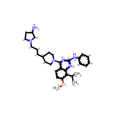 COc1ccc2c(N3CCC(CCCN4CCC(N)C4)CC3)nc(Nc3ccccc3)nc2c1C(C)C